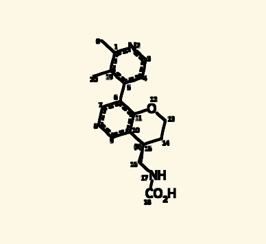 Cc1nccc(-c2cccc3c2OCC[C@H]3CNC(=O)O)c1C